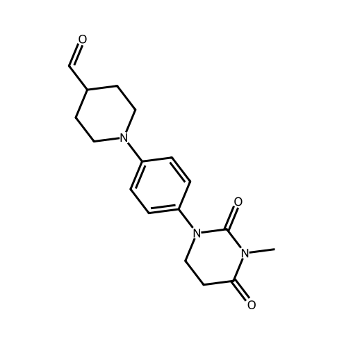 CN1C(=O)CCN(c2ccc(N3CCC(C=O)CC3)cc2)C1=O